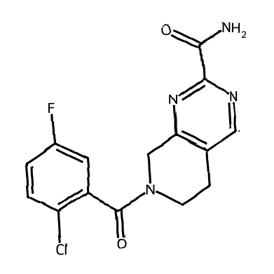 NC(=O)c1n[c]c2c(n1)CN(C(=O)c1cc(F)ccc1Cl)CC2